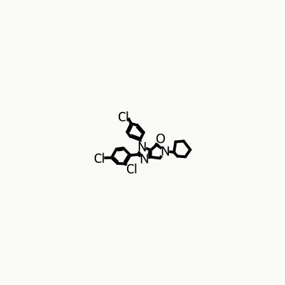 O=C1c2c(nc(-c3ccc(Cl)cc3Cl)n2-c2ccc(Cl)cc2)CN1C1CCCCC1